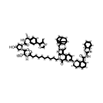 Cc1ncsc1-c1ccc([C@H](C)NC(=O)[C@@H]2C[C@@H](O)CN2C(=O)[C@@H](NC(=O)CCCCCCCCCNC(=O)c2nc(N3CCc4cccc(C(=O)Nc5nc6ccccc6s5)c4C3)ccc2-c2cnn(CC34CC5CC(CC(C5)C3)C4)c2C)C(C)(C)C)cc1